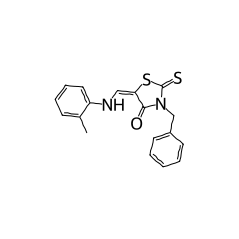 Cc1ccccc1N/C=C1/SC(=S)N(Cc2ccccc2)C1=O